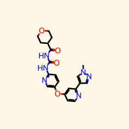 Cn1cc(-c2cc(Oc3ccc(NC(=O)NC(=O)C4CCOCC4)nc3)ccn2)cn1